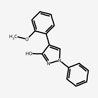 COc1ccccc1-c1cn(-c2ccccc2)nc1O